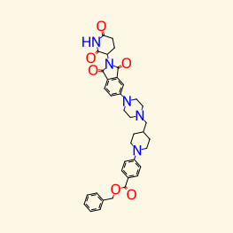 O=C1CCC(N2C(=O)c3ccc(N4CCN(CC5CCN(c6ccc(C(=O)OCc7ccccc7)cc6)CC5)CC4)cc3C2=O)C(=O)N1